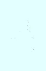 CCOC(=O)C(C)(CSC(C)(C)C)C(=O)N=[N+]=[N-]